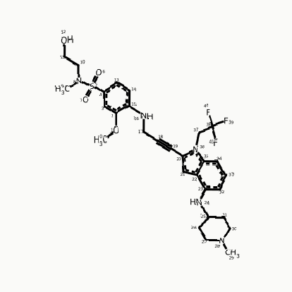 COc1cc(S(=O)(=O)N(C)CCO)ccc1NCC#Cc1cc2c(NC3CCN(C)CC3)cccc2n1CC(F)(F)F